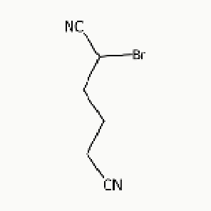 N#CCCCC(Br)C#N